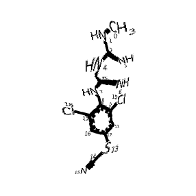 CNC(=N)NC(=N)Nc1c(Cl)cc(SC#N)cc1Cl